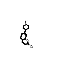 O=c1ccc2ccc(C3CCNCC3)cc2o1